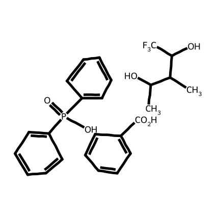 CC(O)C(C)C(O)C(F)(F)F.O=C(O)c1ccccc1.O=P(O)(c1ccccc1)c1ccccc1